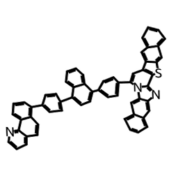 c1ccc2cc3c(cc2c1)nc1c2sc4cc5ccccc5cc4c2cc(-c2ccc(-c4ccc(-c5ccc(-c6cccc7c6ccc6cccnc67)cc5)c5ccccc45)cc2)n31